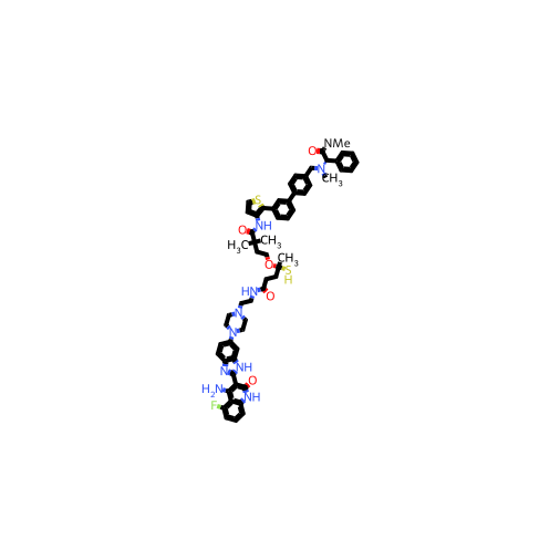 CNC(=O)[C@@H](c1ccccc1)N(C)Cc1ccc(-c2cccc(-c3sccc3NC(=O)C(C)(C)CCOC(C)(S)CCC(=O)NCCN3CCN(c4ccc5nc(-c6c(N)c7c(F)cccc7[nH]c6=O)[nH]c5c4)CC3)c2)cc1